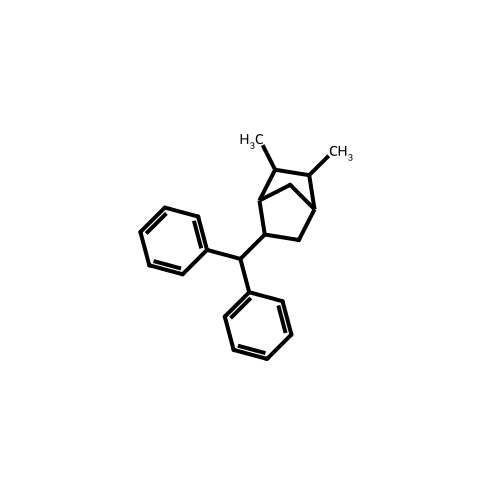 CC1C2CC(C(c3ccccc3)c3ccccc3)C(C2)C1C